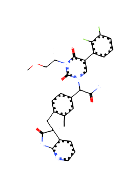 COC[C@H](C)n1c(=O)c(-c2cccc(F)c2F)cn(C(C(N)=O)c2ccc3c(c2)C[C@@]2(C3)C(=O)Nc3ncccc32)c1=O